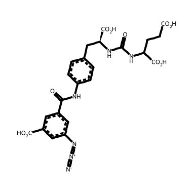 [N-]=[N+]=Nc1cc(C(=O)O)cc(C(=O)Nc2ccc(C[C@H](NC(=O)NC(CCC(=O)O)C(=O)O)C(=O)O)cc2)c1